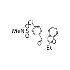 CCc1oc2ccccc2c1C(=O)c1ccc(Cl)c(S(=O)(=O)NC)c1